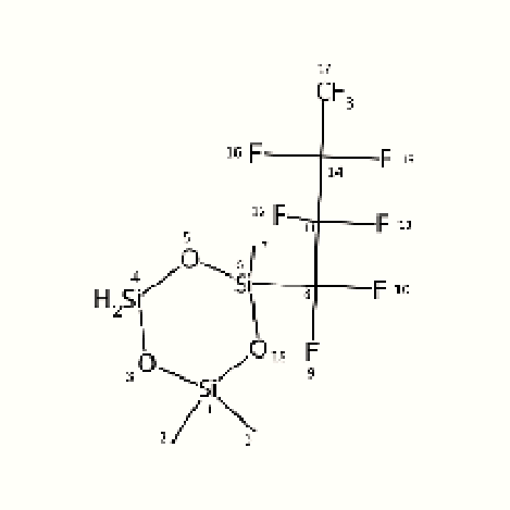 C[Si]1(C)O[SiH2]O[Si](C)(C(F)(F)C(F)(F)C(F)(F)C(F)(F)F)O1